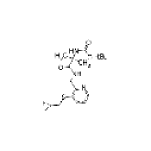 CC(C)(C)OC(=O)NC(C)(C)C(=O)NCc1ncccc1SCC1CC1